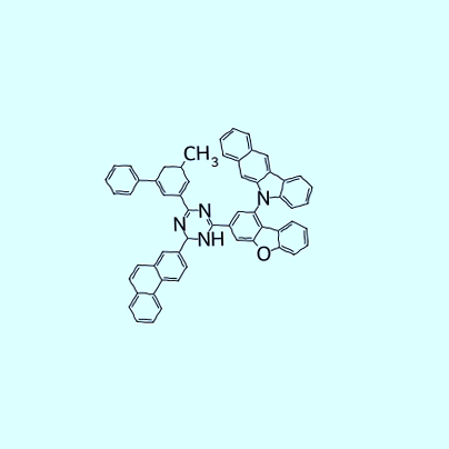 CC1C=C(C2=NC(c3ccc4c(ccc5ccccc54)c3)NC(c3cc(-n4c5ccccc5c5cc6ccccc6cc54)c4c(c3)oc3ccccc34)=N2)C=C(c2ccccc2)C1